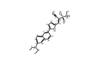 CCN(CC)c1ccc2cc(-c3ccc(/C=C(\C#N)S(=O)(=O)NC)o3)ccc2c1